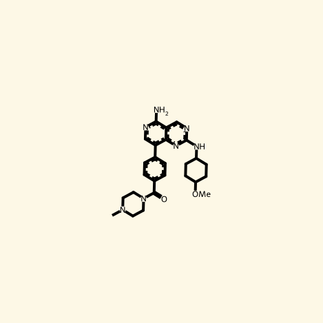 COC1CCC(Nc2ncc3c(N)ncc(-c4ccc(C(=O)N5CCN(C)CC5)cc4)c3n2)CC1